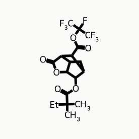 CCC(C)(C)C(=O)OC1C2CC3C1OC(=O)C3C2C(=O)OC(F)(C(F)(F)F)C(F)(F)F